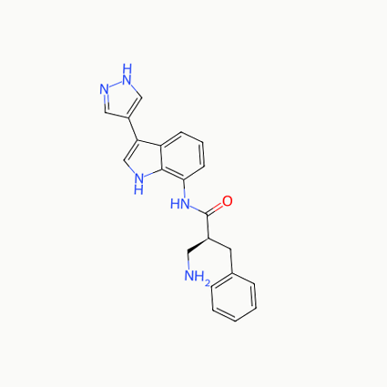 NC[C@H](Cc1ccccc1)C(=O)Nc1cccc2c(-c3cn[nH]c3)c[nH]c12